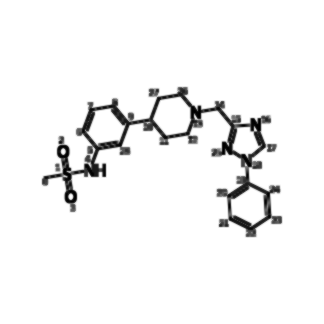 CS(=O)(=O)Nc1cccc(C2CCN(Cc3ncn(-c4ccccc4)n3)CC2)c1